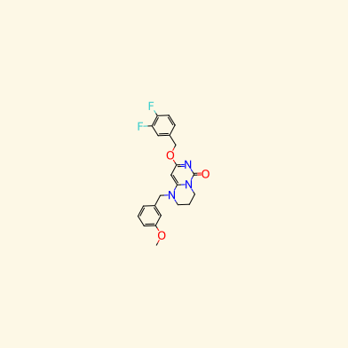 COc1cccc(CN2CCCn3c2cc(OCc2ccc(F)c(F)c2)nc3=O)c1